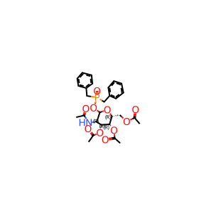 CC(=O)N[C@H]1C(OP(=O)(Cc2ccccc2)Cc2ccccc2)O[C@H](COC(C)=O)[C@H](OC(C)=O)[C@@H]1OC(C)=O